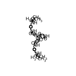 CC(C)(C)OC(=O)NCc1ccc(CNC(=O)N2CCN(C(=O)C[N+]3(CC(=O)N4CCN(C(=O)NCc5ccc(CNC(=O)OC(C)(C)C)cc5)CC4)CCC(=O)NCCC3=O)CC2)cc1